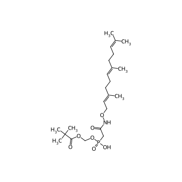 CC(C)=CCC/C(C)=C/CC/C(C)=C/CONC(=O)CP(=O)(O)OCOC(=O)C(C)(C)C